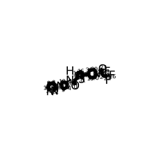 O=C(N[C@H]1CCN(c2cccnn2)C1)c1ccc(C2CCN(C(=O)CC(F)(F)F)CC2)s1